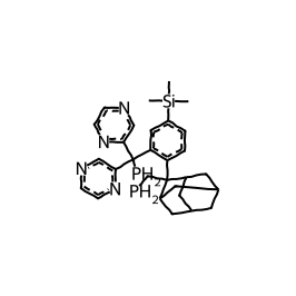 C[Si](C)(C)c1ccc(C2(CP)C3CC4CC(C3)CC2C4)c(C(P)(c2cnccn2)c2cnccn2)c1